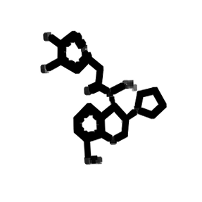 COc1cccc2c1OC[C@H](N1CCCC1)[C@H]2N(C)C(=O)Cc1ccc(Cl)c(Cl)c1